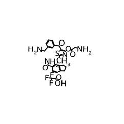 Cc1nc(OC(=O)CN)c(C(=O)c2cccc(CN)c2)s1.NC(=O)c1ccc2c(c1)CCC2.O=C(O)C(F)(F)F